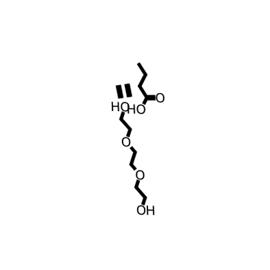 C=C.C=C.CCCC(=O)O.OCCOCCOCCO